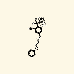 O=P(O)(O)C(F)(F)c1ccc(CSCCOc2ccccc2)cc1Br